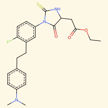 CCOC(=O)CC1NC(=S)N(c2ccc(F)c(CCc3ccc(N(C)C)cc3)c2)C1=O